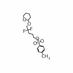 Cc1ccc(S(=O)(=O)OCCCC(F)(F)COC2CCCCO2)cc1